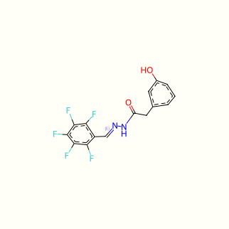 O=C(Cc1cccc(O)c1)N/N=C/c1c(F)c(F)c(F)c(F)c1F